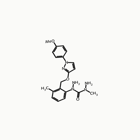 COc1ccc(-n2ccc(OCc3c(C)cccc3N(N)C(=O)N(C)N)n2)cc1